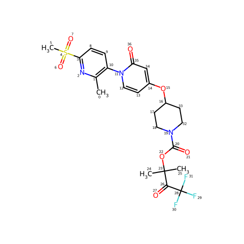 Cc1nc(S(C)(=O)=O)ccc1-n1ccc(OC2CCN(C(=O)OC(C)(C)C(=O)C(F)(F)F)CC2)cc1=O